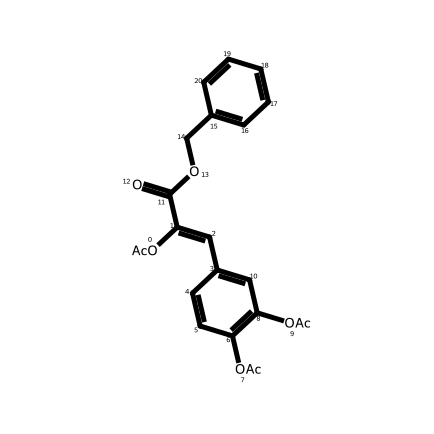 CC(=O)O/C(=C\c1ccc(OC(C)=O)c(OC(C)=O)c1)C(=O)OCc1ccccc1